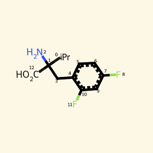 CC(C)C(N)(Cc1ccc(F)cc1F)C(=O)O